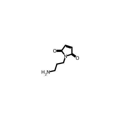 NCCCN1C(=O)C=CC1=O